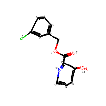 O=C(OCc1cccc(Cl)c1)c1ncccc1O